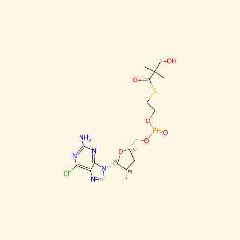 C[C@H]1C[C@@H](CO[PH](=O)OCCSC(=O)C(C)(C)CO)O[C@H]1n1cnc2c(Cl)nc(N)nc21